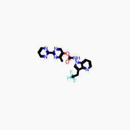 Cc1nc(-c2ncccn2)ncc1OC(=O)Nn1cc(CC(F)(F)F)c2ncccc21